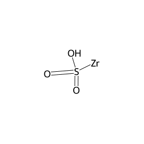 O=[S](=O)(O)[Zr]